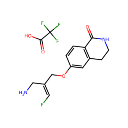 NCC(=CF)COc1ccc2c(c1)CCNC2=O.O=C(O)C(F)(F)F